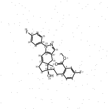 COC(=O)c1cc(F)ccc1CC[C@]1(O)CCC2=Cc3c(cnn3-c3ccc(F)cc3)CC21C